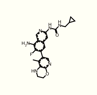 Cc1c(-c2cc3cc(NC(=O)NCC4CC4)ncc3c(N)c2F)cnc2c1NCCO2